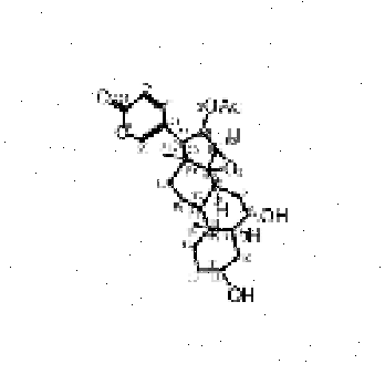 CC(=O)O[C@H]1[C@H]2O[C@]23[C@@H]2C[C@H](O)[C@@H]4C[C@@H](O)CC[C@]4(C)[C@H]2CC[C@]3(C)[C@H]1c1ccc(=O)oc1